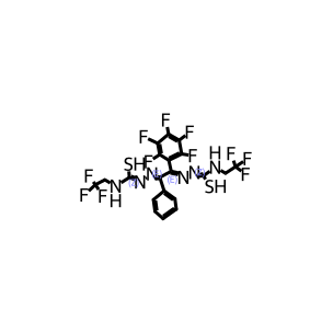 Fc1c(F)c(F)c(C(=N\N=C(/S)NCC(F)(F)F)/C(=N/N=C(\S)NCC(F)(F)F)c2ccccc2)c(F)c1F